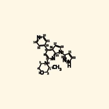 C[C@@H]1COCCN1c1cc(-c2ccncc2)c2ccn(-c3cc[nH]n3)c2n1